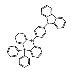 C1=C2C(=CCC1)C(c1ccccc1)(c1ccccc1)c1ccccc1N2c1ccc(-n2c3ccccc3c3ccccc32)cc1